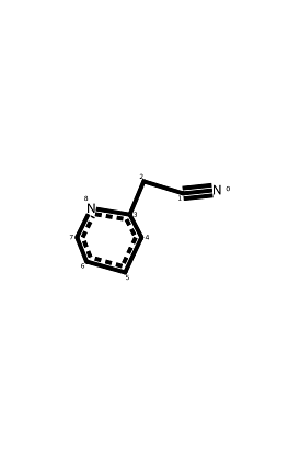 N#CCc1ccc[c]n1